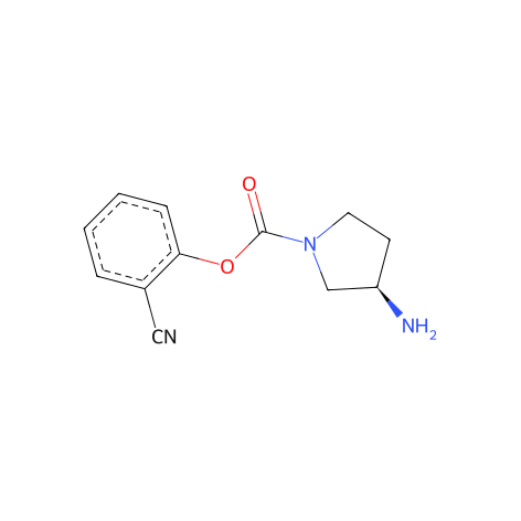 N#Cc1ccccc1OC(=O)N1CC[C@@H](N)C1